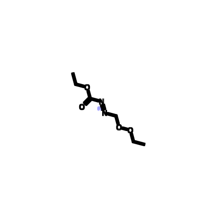 CCOOC/N=N/C(=O)OCC